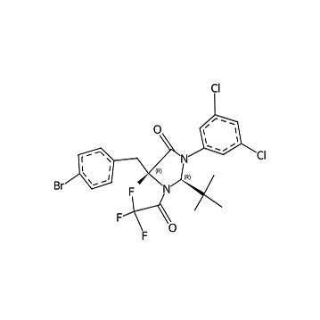 CC(C)(C)[C@@H]1N(c2cc(Cl)cc(Cl)c2)C(=O)[C@@](C)(Cc2ccc(Br)cc2)N1C(=O)C(F)(F)F